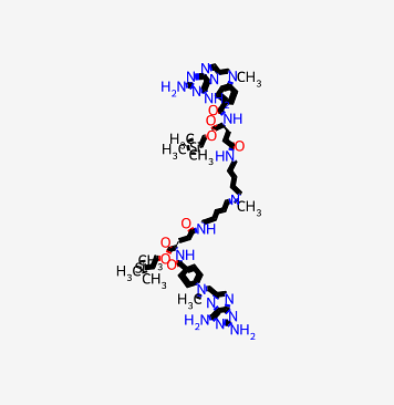 CN(CCCCCNC(=O)CC[C@H](NC(=O)c1ccc(N(C)Cc2cnc3nc(N)nc(N)c3n2)cc1)C(=O)OCC[Si](C)(C)C)CCCCCNC(=O)CC[C@H](NC(=O)c1ccc(N(C)Cc2cnc3nc(N)nc(N)c3n2)cc1)C(=O)OCC[Si](C)(C)C